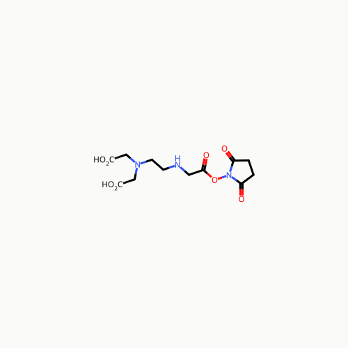 O=C(O)CN(CCNCC(=O)ON1C(=O)CCC1=O)CC(=O)O